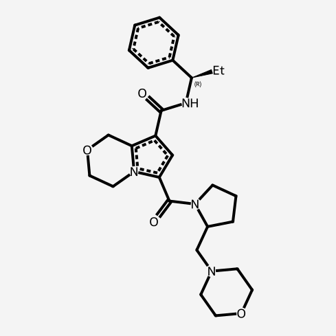 CC[C@@H](NC(=O)c1cc(C(=O)N2CCCC2CN2CCOCC2)n2c1COCC2)c1ccccc1